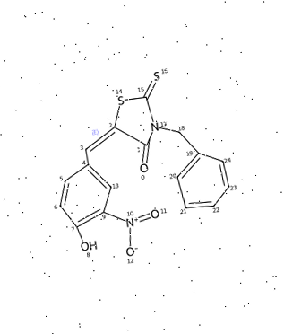 O=C1/C(=C\c2ccc(O)c([N+](=O)[O-])c2)SC(=S)N1Cc1ccccc1